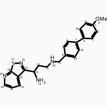 COc1ccc(-c2ccc(CNCCC(N)c3nsc4ncccc34)cc2)cc1